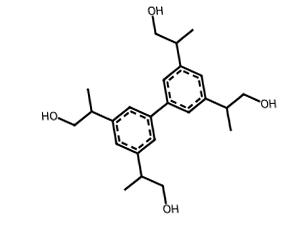 CC(CO)c1cc(-c2cc(C(C)CO)cc(C(C)CO)c2)cc(C(C)CO)c1